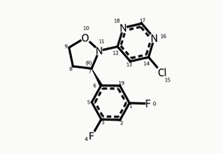 Fc1cc(F)cc([C@H]2CCON2c2cc(Cl)ncn2)c1